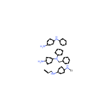 C=CCNc1ccc(NCC)cc1.Nc1ccc(N(Cc2ccccc2)c2ccccc2)cc1.Nc1ccc(Nc2ccccc2)cc1